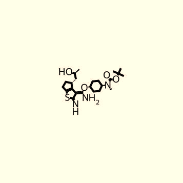 C[C@H](O)C[C@H]1CCC2=C1/C(=C(/N)O[C@H]1CC[C@H](N(C)C(=O)OC(C)(C)C)CC1)C(=N)S2